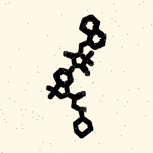 CC1(C)CN(C(=O)CNC2CCCCC2)c2cc(N3C(=O)N(Cc4ccnc5ccccc45)C(C)(C)C3=O)ccc21